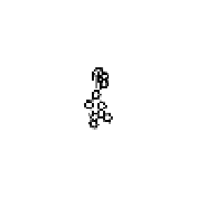 c1cc(-c2ccc(-c3ccc4ccc5cccnc5c4n3)cc2)cc(-c2nc3ccccc3c3c4ccccc4c4ccccc4c23)c1